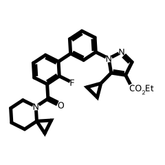 CCOC(=O)c1cnn(-c2cccc(-c3cccc(C(=O)N4CCCCC45CC5)c3F)c2)c1C1CC1